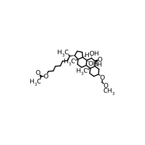 COCO[C@H]1CC[C@]2(C)C3CC[C@]4(C)[C@@H](C(C)CCCCCCOC(C)=O)CC[C@H]4[C@@]3(O)[C@H](O)C(=O)[C@H]2C1